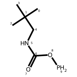 CC(C)(C)CNC(=O)OP